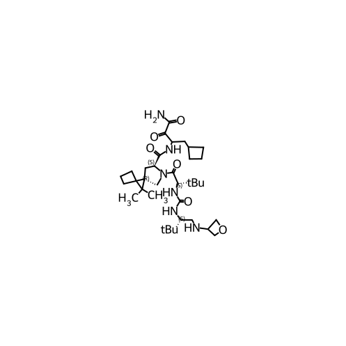 CC(C)(C)[C@H](NC(=O)N[C@H](CNC1COC1)C(C)(C)C)C(=O)N1C[C@]2(C[C@H]1C(=O)NC(CC1CCC1)C(=O)C(N)=O)C(C)(C)C21CCC1